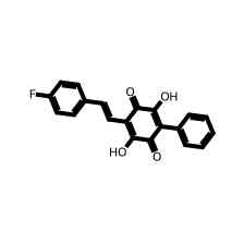 O=C1C(O)=C(c2ccccc2)C(=O)C(O)=C1/C=C/c1ccc(F)cc1